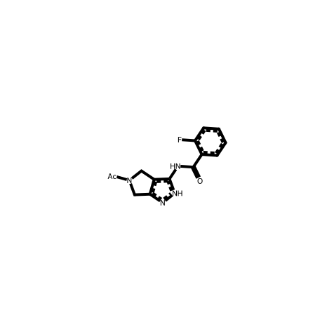 CC(=O)N1Cc2n[nH]c(NC(=O)c3ccccc3F)c2C1